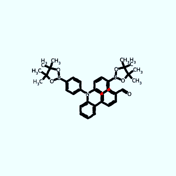 CC1(C)OB(c2ccc(N(c3ccc(B4OC(C)(C)C(C)(C)O4)cc3)c3ccccc3-c3ccc(C=O)cc3)cc2)OC1(C)C